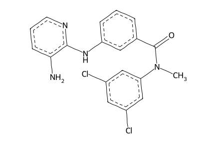 CN(C(=O)c1cccc(Nc2ncccc2N)c1)c1cc(Cl)cc(Cl)c1